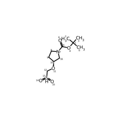 CC(C)(C)OC(=O)N1CC[C@H](OC[SH](=O)=O)C1